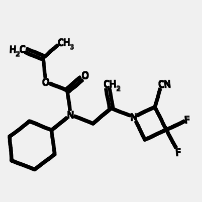 C=C(C)OC(=O)N(CC(=C)N1CC(F)(F)C1C#N)C1CCCCC1